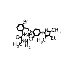 CCc1c(C)nn(-c2ccc(OCc3c(Br)cccc3N(N)C(=O)N(C)N)c(Cl)c2)c1C